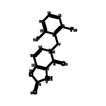 O=c1[nH]c2c(=O)n(Cc3c(F)cccc3F)ccc2o1